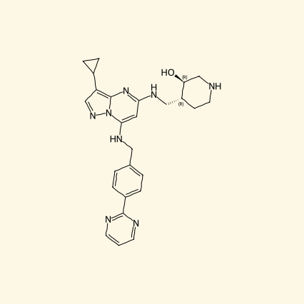 O[C@H]1CNCC[C@@H]1CNc1cc(NCc2ccc(-c3ncccn3)cc2)n2ncc(C3CC3)c2n1